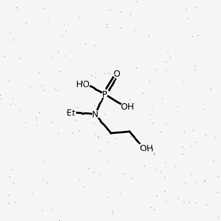 CCN(CCO)P(=O)(O)O